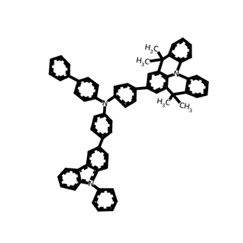 CC1(C)c2ccccc2N2c3ccccc3C(C)(C)c3cc(-c4ccc(N(c5ccc(-c6ccccc6)cc5)c5ccc(-c6ccc7c(c6)c6ccccc6n7-c6ccccc6)cc5)cc4)cc1c32